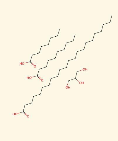 CCCCCCCC(=O)O.CCCCCCCCCC(=O)O.CCCCCCCCCCCCCCCCCCCCCC(=O)O.OCC(O)CO